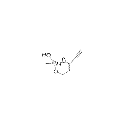 C#CC1=CCO[PH](C)(O)O1